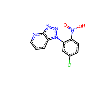 O=[N+](O)c1ccc(Cl)cc1-n1nnc2ncccc21